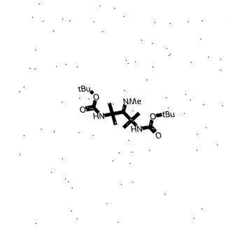 CNC(C(C)(C)NC(=O)OC(C)(C)C)C(C)(C)NC(=O)OC(C)(C)C